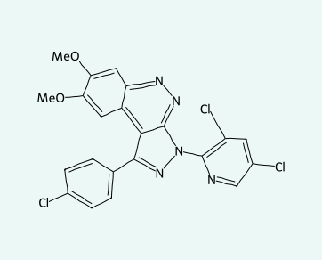 COc1cc2nnc3c(c(-c4ccc(Cl)cc4)nn3-c3ncc(Cl)cc3Cl)c2cc1OC